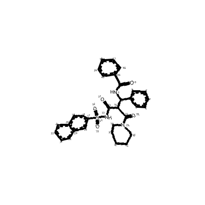 O=C(NC(c1ccccc1)C(C(=O)NS(=O)(=O)c1ccc2ccccc2c1)C(=O)N1CCCCC1)c1ccccc1